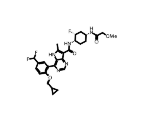 COCC(=O)N[C@@H]1CC[C@H](NC(=O)c2c(C)[nH]c3c(-c4cc(C(F)F)ccc4OCC4CC4)ncnc23)[C@H](F)C1